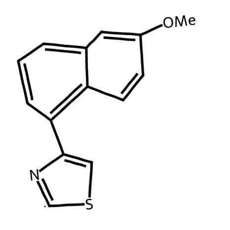 COc1ccc2c(-c3cs[c]n3)cccc2c1